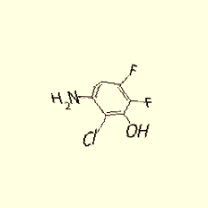 Nc1cc(F)c(F)c(O)c1Cl